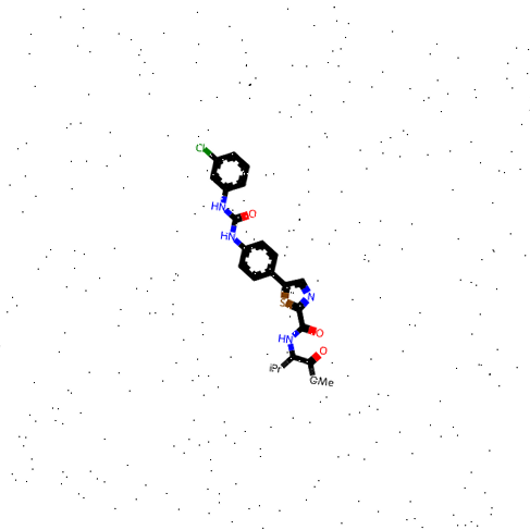 COC(=O)C(NC(=O)c1ncc(-c2ccc(NC(=O)Nc3cccc(Cl)c3)cc2)s1)C(C)C